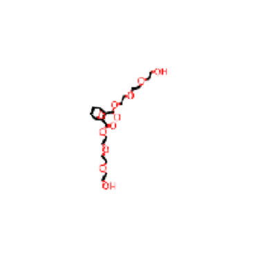 O=C(OCCOCCOCCO)C1C2C=CC(O2)C1C(=O)OCCOCCOCCO